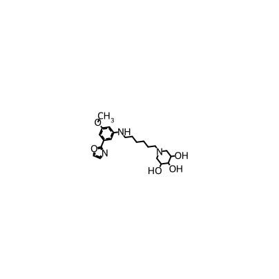 COc1cc(NCCCCCCN2CC(O)C(O)C(O)C2)cc(-c2ncco2)c1